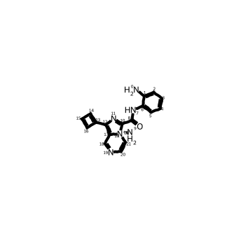 Nc1ccccc1NC(=O)C1=NC(C2=CC=C2)=C2C=NC=C[N+]12N